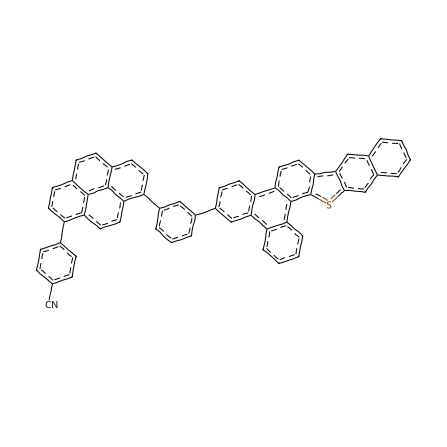 N#Cc1ccc(-c2ccc3ccc4ccc(-c5cccc(-c6ccc7c(c6)c6ccccc6c6c7ccc7c8cc9ccccc9cc8sc76)c5)c5ccc2c3c45)cc1